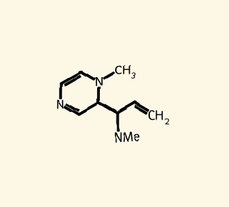 C=CC(NC)C1C=NC=CN1C